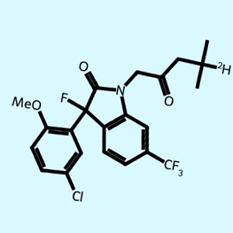 [2H]C(C)(C)CC(=O)CN1C(=O)C(F)(c2cc(Cl)ccc2OC)c2ccc(C(F)(F)F)cc21